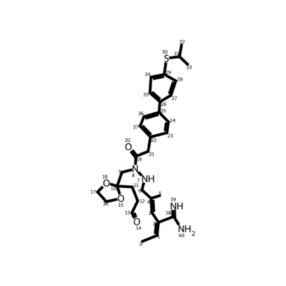 C/C=C(\C=C(/C)CNN(CC1(CCC=O)OCCO1)C(=O)Cc1ccc(-c2ccc(SC(C)C)cc2)cc1)C(=N)N